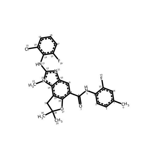 Cc1ccc(NC(=O)c2cc3nc(Nc4c(F)cccc4Cl)n(C)c3c3c2OC(C)(C)C3)c(F)c1